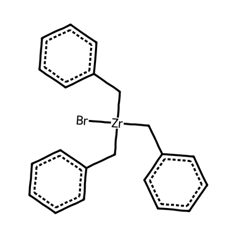 [Br][Zr]([CH2]c1ccccc1)([CH2]c1ccccc1)[CH2]c1ccccc1